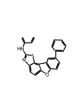 C=CC(=C)Nc1nc2ccc3oc4ccc(-c5ccccc5)cc4c3c2s1